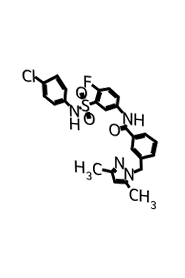 Cc1cc(C)n(Cc2cccc(C(=O)Nc3ccc(F)c(S(=O)(=O)Nc4ccc(Cl)cc4)c3)c2)n1